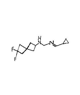 FC1(F)CC2(CC(NC/N=C/C3CC3)C2)C1